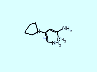 N/C=C(\C=C(N)N)N1CCCC1